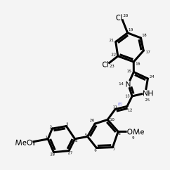 COc1ccc(-c2ccc(OC)c(/C=C/c3nc(-c4ccc(Cl)cc4Cl)c[nH]3)c2)cc1